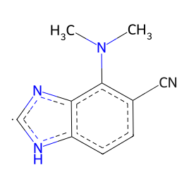 CN(C)c1c(C#N)ccc2[nH][c]nc12